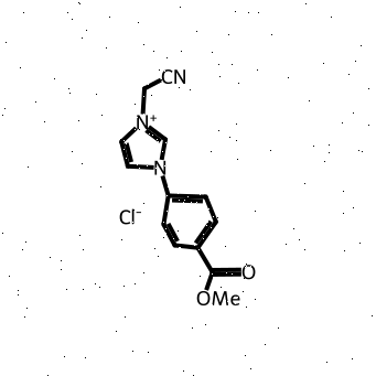 COC(=O)c1ccc(-n2cc[n+](CC#N)c2)cc1.[Cl-]